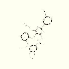 COc1ccccc1Oc1c(NS(=O)(=O)c2ccc3c(c2)OCO3)nc(-c2ccnc(C#N)c2)nc1OCCO